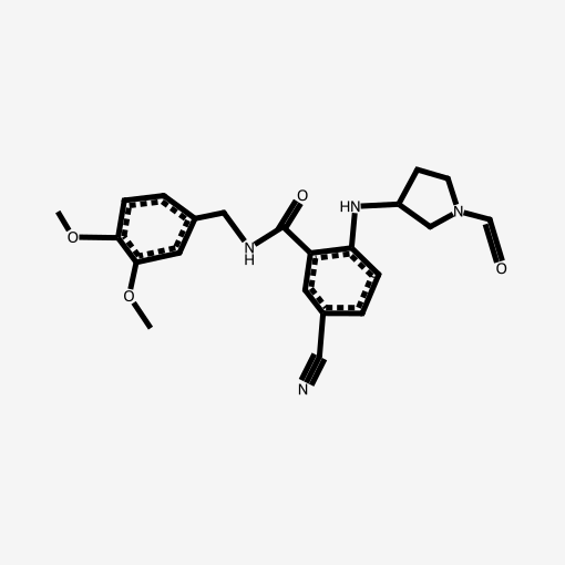 COc1ccc(CNC(=O)c2cc(C#N)ccc2NC2CCN(C=O)C2)cc1OC